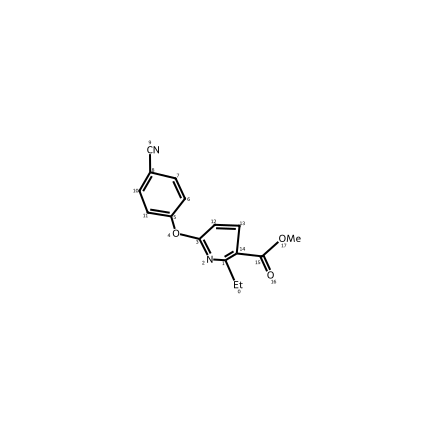 CCc1nc(Oc2ccc(C#N)cc2)ccc1C(=O)OC